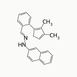 CC1=CCC(c2ccccc2C=NNc2ccc3ccccc3c2)=C1C